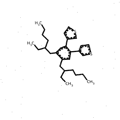 CCCCC(CC)Cc1cc(-c2ccsc2)c(-c2ccsc2)cc1CC(CC)CCCC